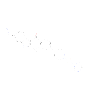 CC1(C)c2cc(C3CCN(S(=O)(=O)n4ccnc4)CC3)ccc2C(=O)c2c1[nH]c1cc(C=N)ccc21